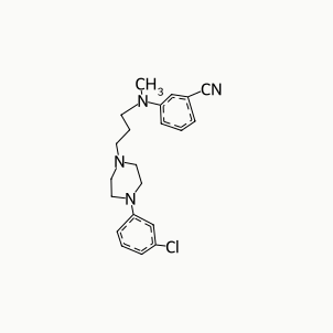 CN(CCCN1CCN(c2cccc(Cl)c2)CC1)c1cccc(C#N)c1